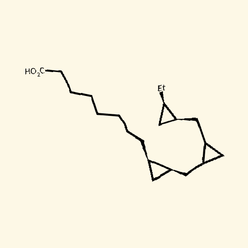 CC[C@@H]1C[C@@H]1CC1CC1C[C@H]1C[C@H]1CCCCCCCC(=O)O